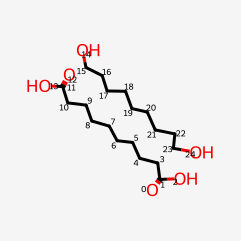 O=C(O)CCCCCCCCC(=O)O.OCCCCCCCCCO